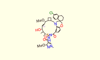 COc1nn(C)cc1C(=O)NS1(=O)=NC(=O)c2ccc3c(c2)N(CC2CCC2C(OC)/C=C/C(O)C(C)C1C)CC1(CCCc2cc(Cl)ccc21)CO3